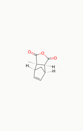 C[C@]12C(=O)OC(=O)[C@H]1[C@H]1C=C[C@@H]2C1